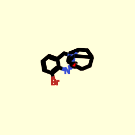 Brc1cccc2c1N=C1C3CC4CC(C3)CC(C4)N1C2